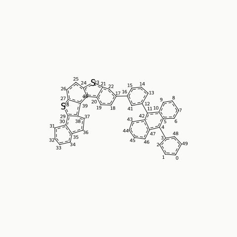 c1ccc(-c2c3ccccc3c(-c3cccc(-c4ccc5c(c4)sc4ccc6sc7c8ccccc8ccc7c6c45)c3)c3ccccc23)cc1